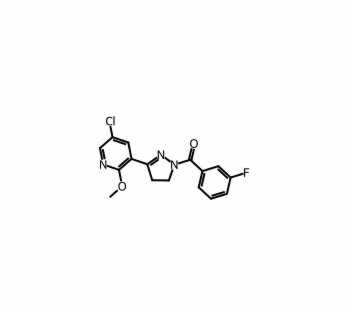 COc1ncc(Cl)cc1C1=NN(C(=O)c2cccc(F)c2)CC1